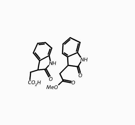 COC(=O)CC1C(=O)Nc2ccccc21.O=C(O)CC1C(=O)Nc2ccccc21